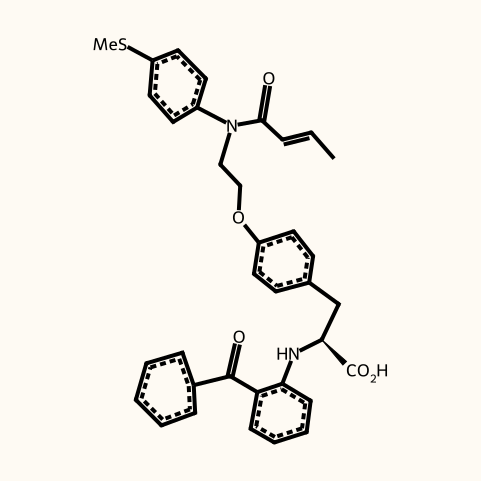 C/C=C/C(=O)N(CCOc1ccc(C[C@H](Nc2ccccc2C(=O)c2ccccc2)C(=O)O)cc1)c1ccc(SC)cc1